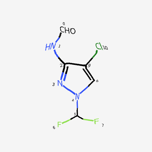 O=CNc1nn(C(F)F)cc1Cl